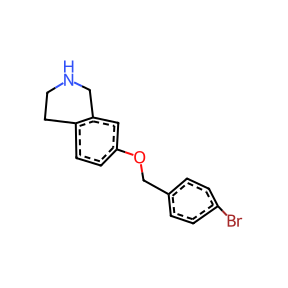 Brc1ccc(COc2ccc3c(c2)CNCC3)cc1